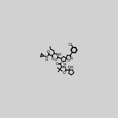 CCCC(NC(=O)C1CC2(CC(c3cccc(Cl)c3)=NO2)CN1C(=O)C(NC(=O)C1(O)CCCC1)C(C)(C)C)C(=O)C(=O)NC1CC1